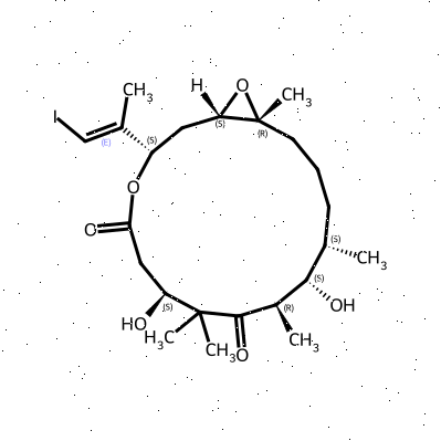 C/C(=C\I)[C@@H]1C[C@@H]2O[C@]2(C)CCC[C@H](C)[C@H](O)[C@@H](C)C(=O)C(C)(C)[C@@H](O)CC(=O)O1